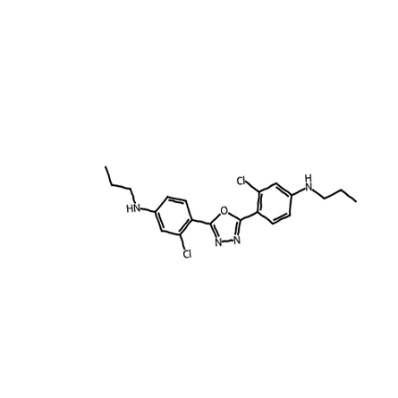 CCCNc1ccc(-c2nnc(-c3ccc(NCCC)cc3Cl)o2)c(Cl)c1